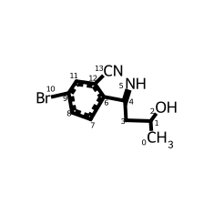 CC(O)CC(=N)c1ccc(Br)cc1C#N